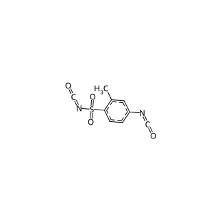 Cc1cc(N=C=O)ccc1S(=O)(=O)N=C=O